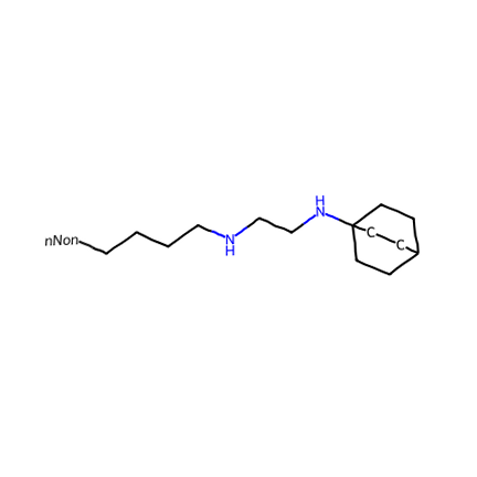 CCCCCCCCCCCCCNCCNC12CCC(CC1)CC2